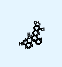 Cc1cc(Cl)c2nc(-c3ccccn3)c([C@H](C)Nc3ncnc4[nH]cnc34)cc2c1